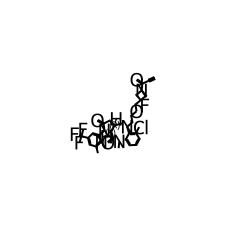 C#CC(=O)N1CC(F)(COCCN2C[C@H]3CC(=O)N(c4cc(C(F)(F)F)cc(C)n4)[C@@H]3C(=O)N(C)c3cccc(Cl)c32)C1